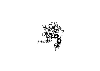 CC(C)(C)OC(=O)Nc1ccc(-c2cc(C(F)(F)F)ccc2F)cc1C(=O)N1CCN(C(=O)O)C[C@@H]1C(=O)O